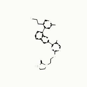 NCCc1cnc(Cl)cc1-c1cccc2cc(-c3nc(NCCN4CCNC4=O)ncc3F)sc12